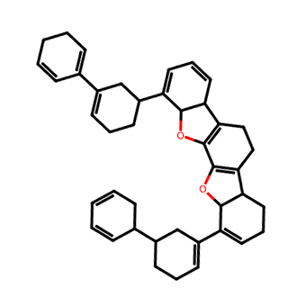 C1=CCC(C2CCC=C(C3=CCCC4C5=C(OC34)C3=C(CC5)C4C=CC=C(C5CCC=C(C6=CCCC=C6)C5)C4O3)C2)C=C1